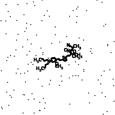 [C-]#[N+]C1=C(/C=C/c2ccc(/C=C/c3ccc(N(CCCC)CCCC)cc3OC)s2)C(C)(C)O/C1=C(\C)C#N